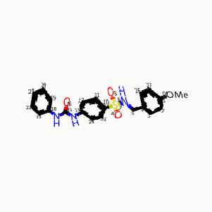 COc1ccc(CNS(=O)(=O)c2ccc(NC(=O)Nc3ccccc3)cc2)cc1